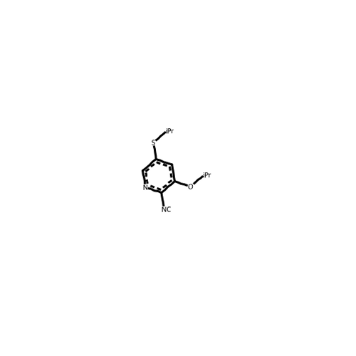 [C-]#[N+]c1ncc(SC(C)C)cc1OC(C)C